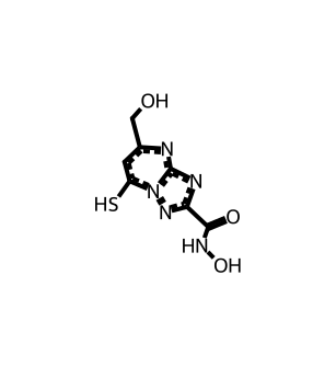 O=C(NO)c1nc2nc(CO)cc(S)n2n1